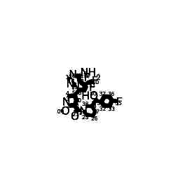 COc1ncc(-c2cc(C(F)(F)F)c3c(N)ncnn23)cc1C(=O)N1CCCC(C(O)c2ccc(F)cc2)C1